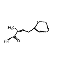 CC(=CCC1COCO1)C(=O)O